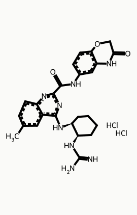 Cc1ccc2nc(C(=O)Nc3ccc4c(c3)NC(=O)CO4)nc(N[C@H]3CCCC[C@H]3NC(=N)N)c2c1.Cl.Cl